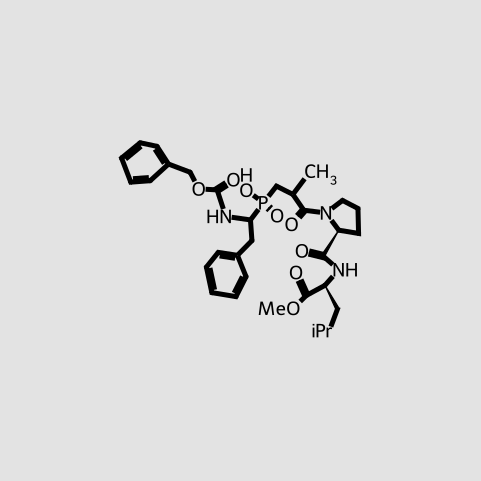 COC(=O)[C@H](CC(C)C)NC(=O)[C@@H]1CCCN1C(=O)C(C)CP(=O)(O)C(Cc1ccccc1)NC(=O)OCc1ccccc1